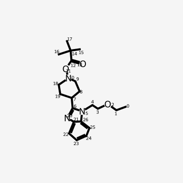 CCOCCn1c(C2CCN(OC(=O)C(C)(C)C)CC2)nc2ccccc21